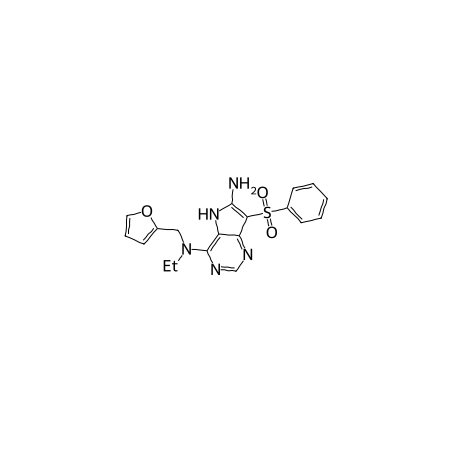 CCN(Cc1ccco1)c1ncnc2c(S(=O)(=O)c3ccccc3)c(N)[nH]c12